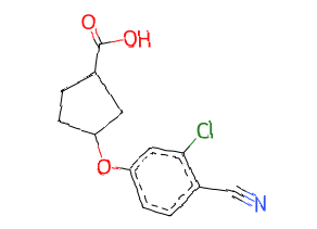 N#Cc1ccc(OC2CCC(C(=O)O)C2)cc1Cl